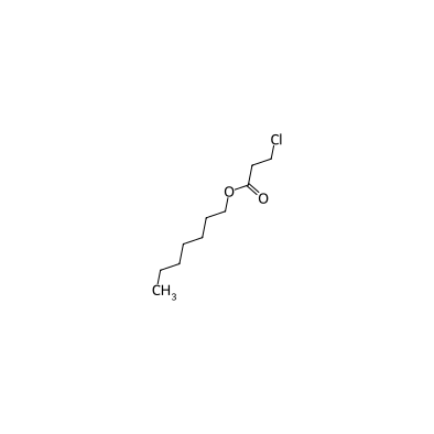 CCCCCCCOC(=O)CCCl